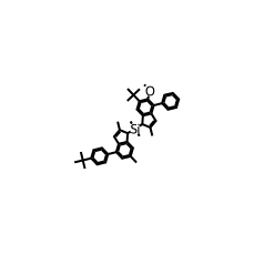 COc1c(C(C)(C)C)cc2c(c1-c1ccccc1)C=C(C)C2[Si](C)(C)C1C(C)=Cc2c(-c3ccc(C(C)(C)C)cc3)cc(C)cc21